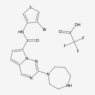 O=C(Nc1cscc1Br)c1ccc2cnc(N3CCCNCC3)nn12.O=C(O)C(F)(F)F